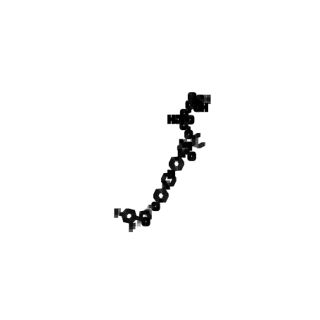 CC[C@@H]([C@H](C)OCOP(=O)(O)OCOP(=O)(O)O)n1ncn(-c2ccc(N3CCN(c4ccc(OC[C@@H]5CO[C@@](C)(c6ccc(F)cc6F)C5)cc4)CC3)cc2)c1=O